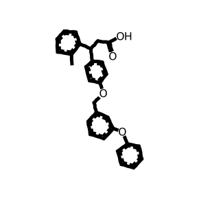 Cc1ccccc1C(CC(=O)O)c1ccc(OCc2cccc(Oc3ccccc3)c2)cc1